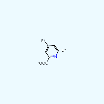 CCc1ccnc(C(=O)[O-])c1.[Li+]